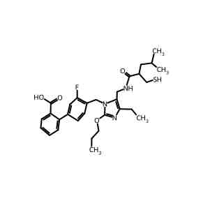 CCCOc1nc(CC)c(CNC(=O)C(CS)CC(C)C)n1Cc1ccc(-c2ccccc2C(=O)O)cc1F